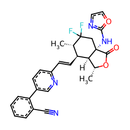 C[C@H]1OC(=O)[C@]2(Nc3ncco3)CC(F)(F)[C@@H](C)[C@H](/C=C/c3ccc(-c4ccccc4C#N)cn3)[C@H]12